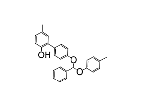 Cc1ccc(OC(Oc2ccc(-c3cc(C)ccc3O)cc2)c2ccccc2)cc1